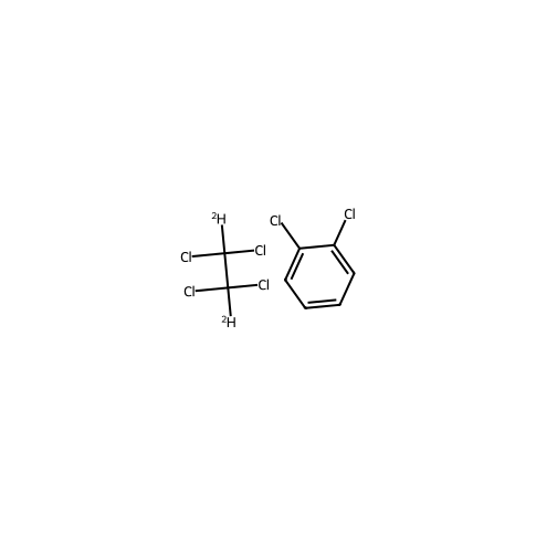 Clc1ccccc1Cl.[2H]C(Cl)(Cl)C([2H])(Cl)Cl